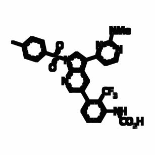 CNc1nccc(-c2cn(S(=O)(=O)c3ccc(C)cc3)c3ncc(-c4cccc(NC(=O)O)c4C(F)(F)F)cc23)n1